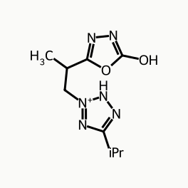 CC(C)c1n[nH][n+](CC(C)c2nnc(O)o2)n1